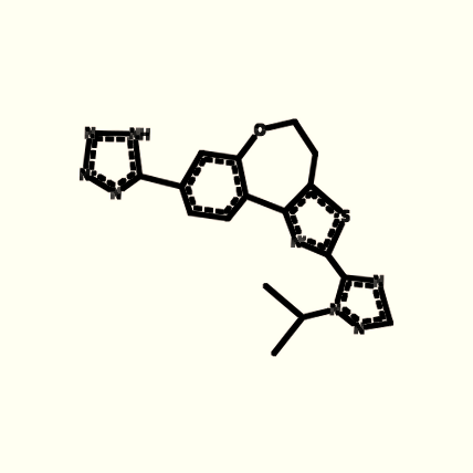 CC(C)n1ncnc1-c1nc2c(s1)CCOc1cc(-c3nnn[nH]3)ccc1-2